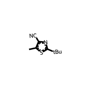 Cc1sc(C(C)(C)C)nc1C#N